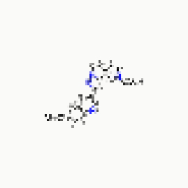 COc1ccc2ncc(-c3cc4n(n3)CCC43CCN(C(=O)O)C3)cc2c1